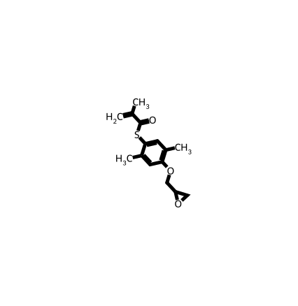 C=C(C)C(=O)Sc1cc(C)c(OCC2CO2)cc1C